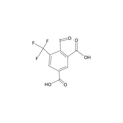 O=Ic1c(C(=O)O)cc(C(=O)O)cc1C(F)(F)F